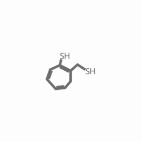 SCC1=C(S)C=CC=CC1